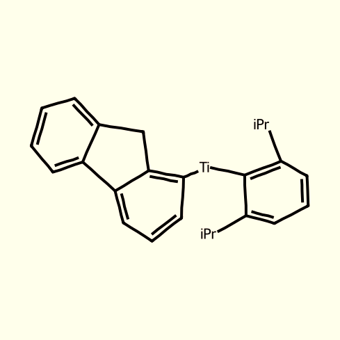 CC(C)c1cccc(C(C)C)[c]1[Ti][c]1cccc2c1Cc1ccccc1-2